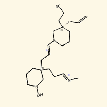 C=CC[C@]1(CCC#N)CCCN(/C=C/C[C@]2(CC/C=N/C)CCCN(O)C2)C1